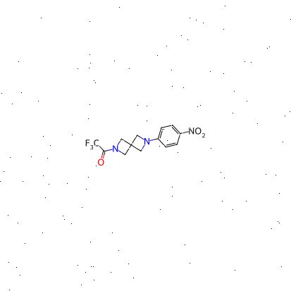 O=C(N1CC2(C1)CN(c1ccc([N+](=O)[O-])cc1)C2)C(F)(F)F